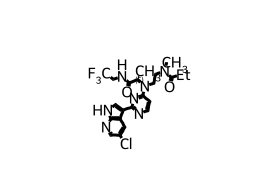 CCC(=O)N(C)CCN(c1ccnc(-c2c[nH]c3ncc(Cl)cc23)n1)[C@@H](C)C(=O)NCC(F)(F)F